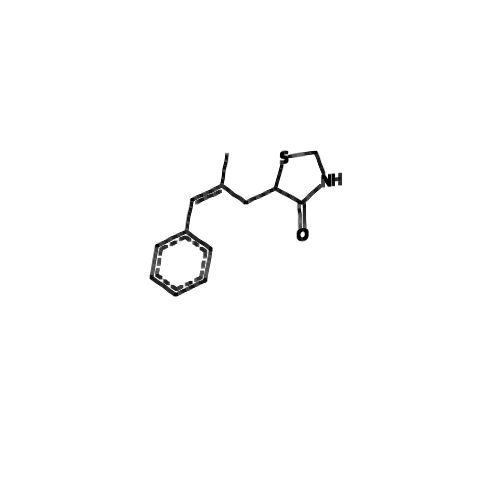 CC(=Cc1ccccc1)CC1SCNC1=O